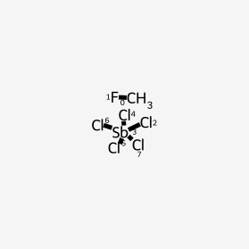 CF.[Cl][Sb]([Cl])([Cl])([Cl])[Cl]